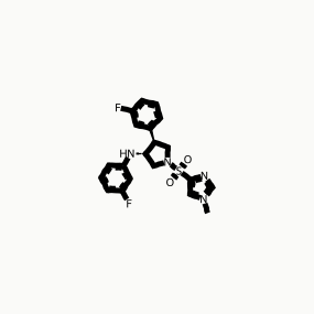 Cn1cnc(S(=O)(=O)N2C[C@H](Nc3cccc(F)c3)[C@@H](c3cccc(F)c3)C2)c1